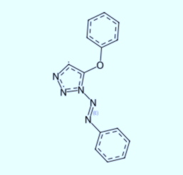 [c]1nnn(/N=N/c2ccccc2)c1Oc1ccccc1